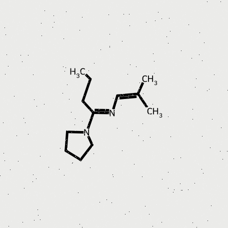 CCC/C(=N\C=C(C)C)N1CCCC1